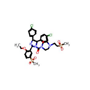 CCOc1ccc(S(C)(=O)=O)cc1C1=NC(c2ccc(Cl)cc2)C(c2ccc(Cl)cc2)N1C(=O)N1CCN(CCS(C)(=O)=O)CC1